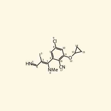 CN/C(=C(/I)C=N)c1cc(Cl)cc(OC2CC2)c1C#N